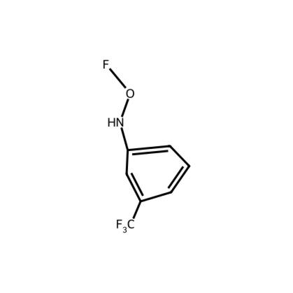 FONc1cccc(C(F)(F)F)c1